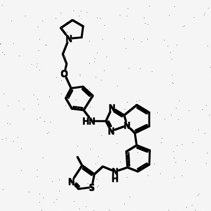 Cc1ncsc1CNc1cccc(-c2cccc3nc(Nc4ccc(OCCN5CCCC5)cc4)nn23)c1